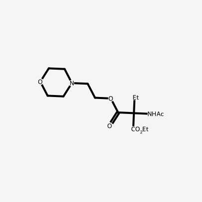 CCOC(=O)C(CC)(NC(C)=O)C(=O)OCCN1CCOCC1